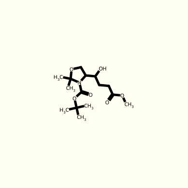 COC(=O)CCC(O)C1COC(C)(C)N1C(=O)OC(C)(C)C